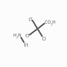 CCN.O=C(O)C(Cl)(Cl)Cl